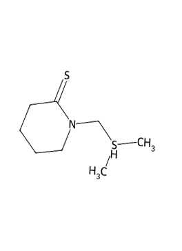 C[SH](C)CN1CCCCC1=S